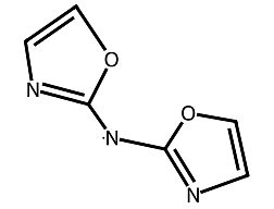 c1coc([N]c2ncco2)n1